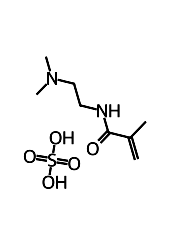 C=C(C)C(=O)NCCN(C)C.O=S(=O)(O)O